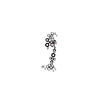 COC(=O)N[C@H]1CCC[C@@H]1C(Cn1ccnn1)(c1cccc(F)c1)C1CCN(CC2CN(c3ccc(S(=O)(=O)C4CN(C(=O)OC(C)(C)C)C4)cc3)C2)CC1